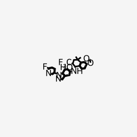 CC1(C)CC(O)(C(F)(F)F)C(Nc2ccc3c(cnn3-c3ccc(F)nc3)c2)c2ccc3c(c21)OCO3